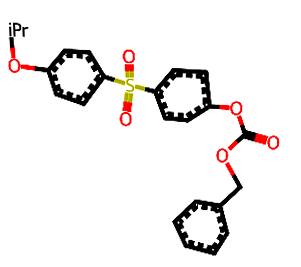 CC(C)Oc1ccc(S(=O)(=O)c2ccc(OC(=O)OCc3ccccc3)cc2)cc1